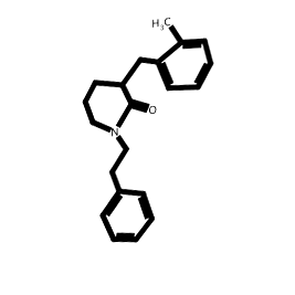 Cc1ccccc1CC1CCCN(CCc2ccccc2)C1=O